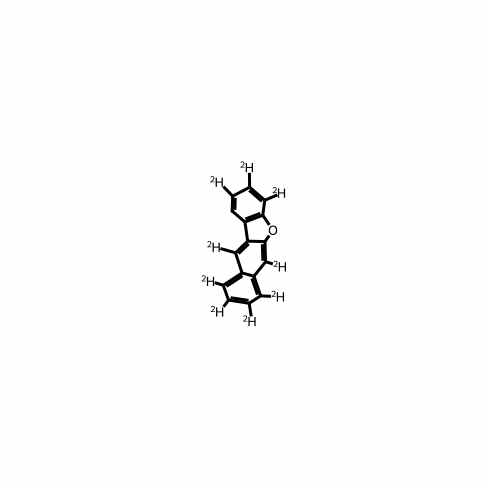 [2H]c1cc2c(oc3c([2H])c4c([2H])c([2H])c([2H])c([2H])c4c([2H])c32)c([2H])c1[2H]